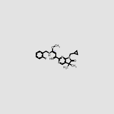 CO/C(=C/C(=N)c1ncc2c(n1)N(CC1CC1)C(=O)C2(C)C)NCc1ccccc1F